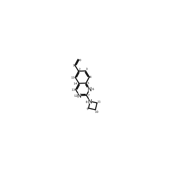 C=Cc1ccc2nc(N3CCC3)ncc2c1